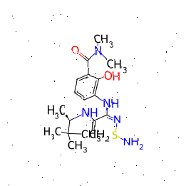 C=C(N[C@H](C)C(C)(C)C)/C(=N\SN)Nc1cccc(C(=O)N(C)C)c1O